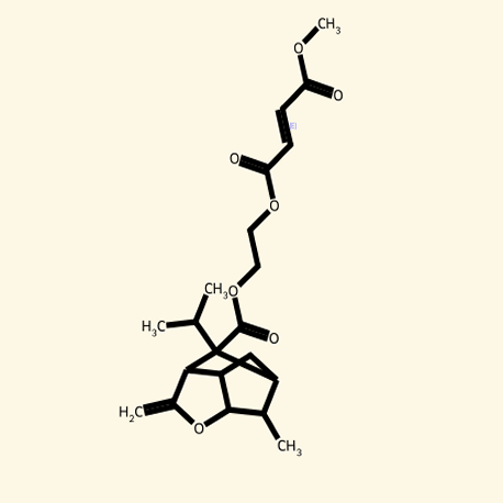 C=C1OC2C(C)C3CC2C1C3(C(=O)OCCOC(=O)/C=C/C(=O)OC)C(C)C